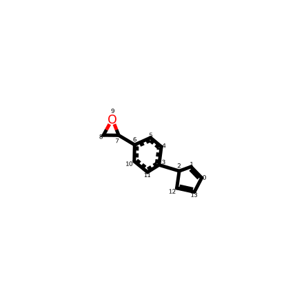 C1=CC(c2ccc(C3CO3)cc2)C=C1